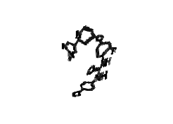 Cn1cc(-c2cc(Oc3ccc(NC(=O)Nc4ccc(Cl)cc4)c(F)c3)ccn2)cn1